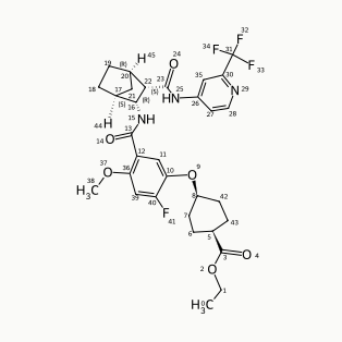 CCOC(=O)[C@H]1CC[C@@H](Oc2cc(C(=O)N[C@@H]3[C@H]4CC[C@H](C4)[C@@H]3C(=O)Nc3ccnc(C(F)(F)F)c3)c(OC)cc2F)CC1